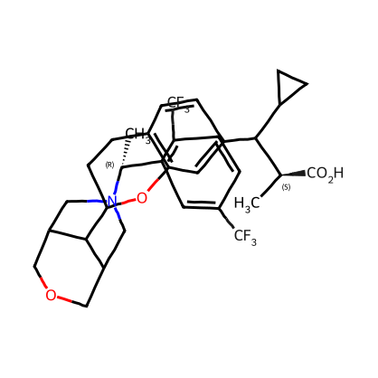 C[C@H](C(=O)O)C(c1ccc2c(c1)OC(C1C3COCC1CN([C@H](C)c1cc(C(F)(F)F)ccc1C(F)(F)F)C3)CC2)C1CC1